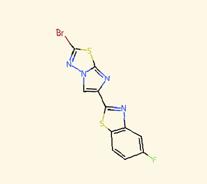 Fc1ccc2sc(-c3cn4nc(Br)sc4n3)nc2c1